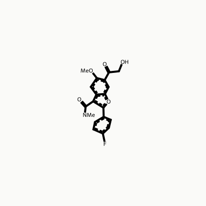 CNC(=O)c1c(-c2ccc(F)cc2)oc2cc(C(=O)CO)c(OC)cc12